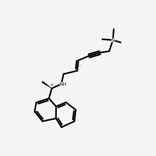 C[C@@H](NC/C=C/C#CC[Si](C)(C)C)c1cccc2ccccc12